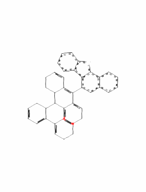 C1=CCC(C2C3=CCCC=C3C(c3cc4ccccc4c4oc5ccccc5c34)=C3C=CCCC32)C(C2=CCCC=C2)=C1